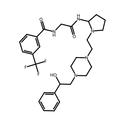 O=C(CNC(=O)c1cccc(C(F)(F)F)c1)NC1CCCN1CCN1CCN(CC(O)c2ccccc2)CC1